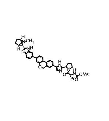 COC(=O)N[C@H](C(=O)N1CCCC1c1ncc(-c2ccc3c(c2)COc2cc(-c4ccc5nc([C@@H]6[C@H]7CC[C@H](C7)N6C)[nH]c5c4)ccc2-3)[nH]1)C(C)C